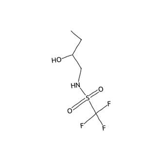 CCC(O)CNS(=O)(=O)C(F)(F)F